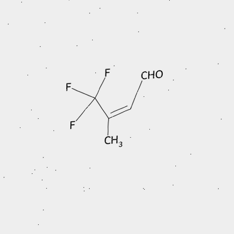 CC(=CC=O)C(F)(F)F